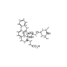 CC1CC(OCC(=O)NC2(C(=O)OCc3ccccc3)c3ccccc3CCN2CCC(=O)O)CC(C)N1